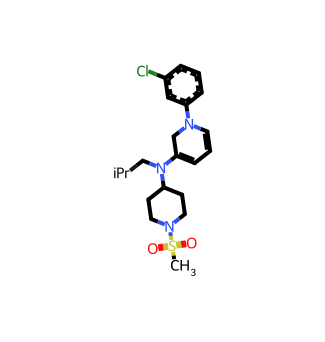 CC(C)CN(C1=CC=CN(c2cccc(Cl)c2)C1)C1CCN(S(C)(=O)=O)CC1